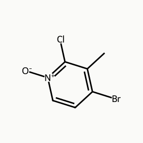 Cc1c(Br)cc[n+]([O-])c1Cl